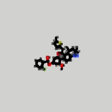 COc1cc(OC(=O)c2ccccc2F)ccc1-c1ccc2c(c1C(=O)Cc1ccc(C)s1)C(C)=CC(C)(C)N2